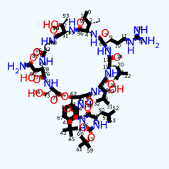 CC[C@H](C)[C@@H]1NC(=O)[C@@H](CCCNC(=N)N)NC(=O)[C@H](CC(C)C)NC(=O)[C@H]([C@H](O)C(C)C)NC(=O)[C@@H](NC(=O)[C@H](CC(C)(C)C)NC(=O)[C@@H](CC(C)C)NC(=O)OC(C)(C)C)[C@@H](c2ccccc2)OC(=O)[C@H](CO)NC(=O)[C@H]([C@H](O)C(N)=O)NC(=O)CNC(=O)[C@H]([C@H](C)O)NC1=O